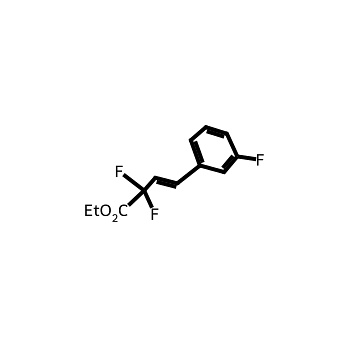 CCOC(=O)C(F)(F)C=Cc1cccc(F)c1